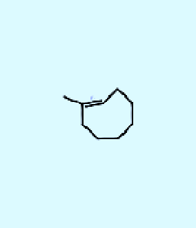 C/C1=C\CCCCCC1